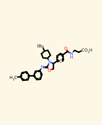 Cc1ccc(-c2cccc(/N=C3\OCC(c4ccc(C(=O)NCCC(=O)O)cc4)N3C3CCC(C(C)(C)C)CC3)c2)cc1